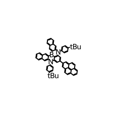 CC(C)(C)c1ccc(N2c3cc4ccccc4cc3B3c4cc5ccccc5cc4N(c4ccc(C(C)(C)C)cc4)c4cc(-c5cc6ccc7cccc8ccc(c5)c6c78)cc2c43)cc1